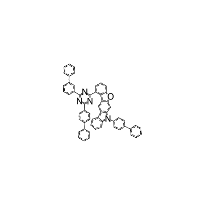 c1ccc(-c2ccc(-c3nc(-c4cccc(-c5ccccc5)c4)nc(-c4cccc5oc6cc7c(cc6c45)c4ccccc4n7-c4ccc(-c5ccccc5)cc4)n3)cc2)cc1